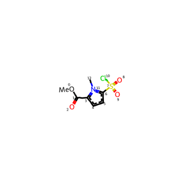 COC(=O)c1ccc(S(=O)(=O)Cl)n1C